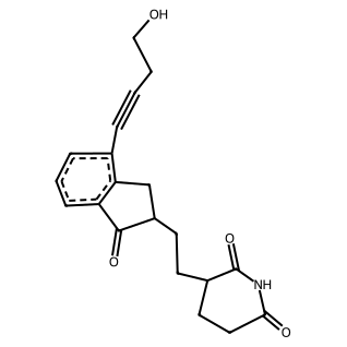 O=C1CCC(CCC2Cc3c(C#CCCO)cccc3C2=O)C(=O)N1